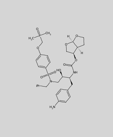 CC(C)CN(C[C@@H](O)[C@H](Cc1ccc(N)cc1)NC(=O)O[C@H]1CO[C@H]2OCC[C@H]21)S(=O)(=O)c1ccc(OCP(C)(C)=O)cc1